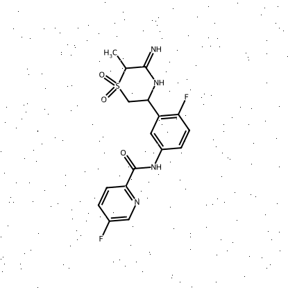 CC1C(=N)NC(c2cc(NC(=O)c3ccc(F)cn3)ccc2F)CS1(=O)=O